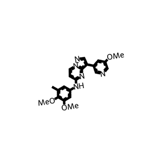 COc1cncc(-c2cnn3ccc(Nc4cc(C)c(OC)c(OC)c4)nc23)c1